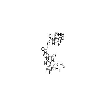 CCC(C)CN1C(=O)C2CN(C(=O)CCOCC(C)Nc3cn[nH]c(=O)c3C(F)(F)F)CCN2c2ncc(C(F)(F)F)cc21